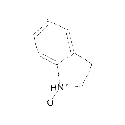 [O-][NH+]1CCc2c[c]ccc21